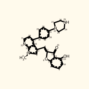 Cn1cc(C=C2Oc3cccc(O)c3C2=O)c2c(-c3ccc(N4CCNCC4)cc3)ccnc21